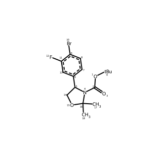 CC(C)(C)OC(=O)N1C(c2ccc(Br)c(F)c2)COC1(C)C